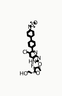 CS(C)(=O)=Nc1ccc(-c2ccc(-c3nc4nc(O[C@@H]5CO[C@H](CCO)[C@H]5F)[nH]c4cc3Cl)cc2)cc1